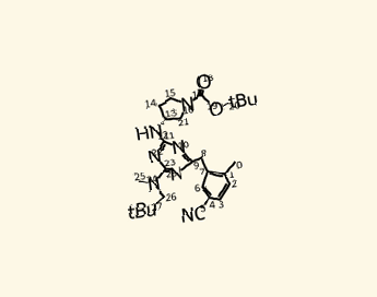 Cc1ccc(C#N)cc1Cc1nc(N[C@@H]2CCN(C(=O)OC(C)(C)C)C2)nc(N(C)CC(C)(C)C)n1